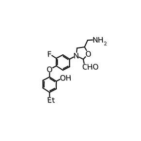 CCc1ccc(Oc2ccc(N3CC(CN)OC3C=O)cc2F)c(O)c1